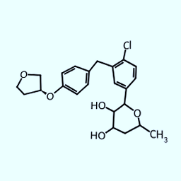 CC1CC(O)C(O)C(c2ccc(Cl)c(Cc3ccc(O[C@H]4CCOC4)cc3)c2)O1